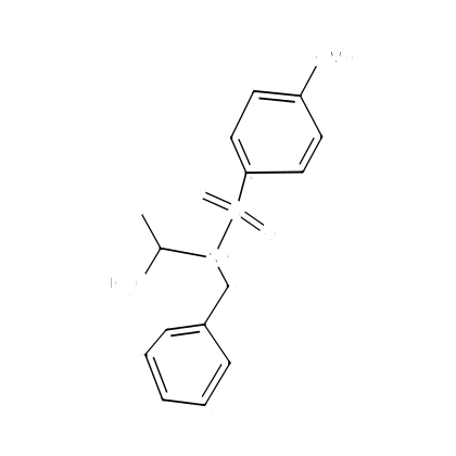 COc1ccc(S(=O)(=O)N(Cc2ccccc2)C(C)C(=O)O)cc1